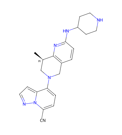 C[C@@H]1CN(c2ccc(C#N)n3nccc23)Cc2ccc(NC3CCNCC3)nc21